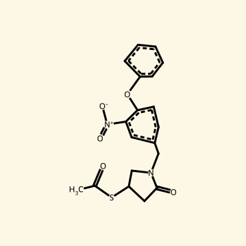 CC(=O)SC1CC(=O)N(Cc2ccc(Oc3ccccc3)c([N+](=O)[O-])c2)C1